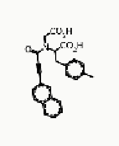 Cc1ccc(CC(C(=O)O)N(CC(=O)O)C(=O)C#Cc2ccc3ccccc3c2)cc1